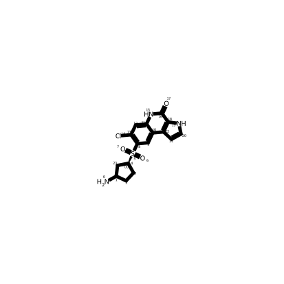 NC1CC[C@H](S(=O)(=O)c2cc3c(cc2Cl)[nH]c(=O)c2[nH]ccc23)C1